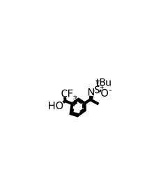 CC(=N[S@+]([O-])C(C)(C)C)c1cccc(C(O)C(F)(F)F)c1